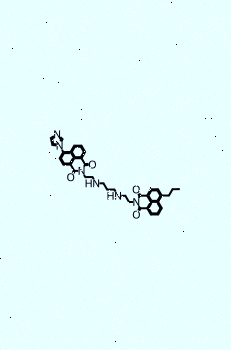 CCCc1ccc2c3c(cccc13)C(=O)N(CCNCCCNCCN1C(=O)c3cccc4c(-n5ccnc5)ccc(c34)C1=O)C2=O